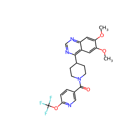 COc1cc2ncnc(C3CCN(C(=O)c4ccc(OC(F)(F)F)nc4)CC3)c2cc1OC